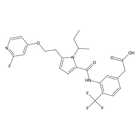 CCC(C)n1c(CCOc2ccnc(F)c2)ccc1C(=O)Nc1cc(CC(=O)O)ccc1C(F)(F)F